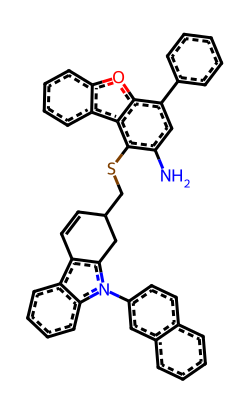 Nc1cc(-c2ccccc2)c2oc3ccccc3c2c1SCC1C=Cc2c(n(-c3ccc4ccccc4c3)c3ccccc23)C1